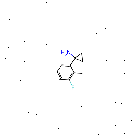 Cc1c(F)[c]ccc1C1(N)CC1